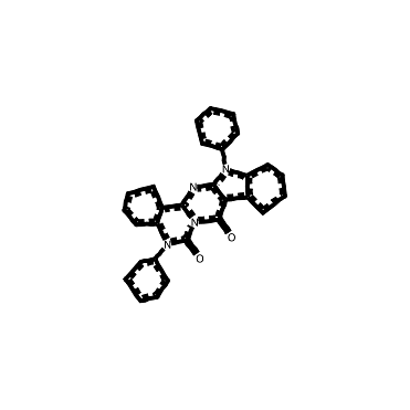 O=c1c2c3ccccc3n(-c3ccccc3)c2nc2c3ccccc3n(-c3ccccc3)c(=O)n12